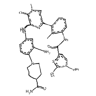 CCCc1cc(C(=O)Nc2cccc(-c3cn(C)c(=O)c(Nc4ccc(N5CCC(C(N)=O)CC5)c(N)c4)n3)c2C)sc1CC